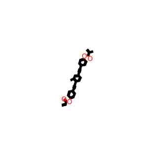 C=CC(=O)Oc1ccc(C#Cc2ccc(C#Cc3ccc(OC(=O)C(=C)C)cc3)cc2C)cc1